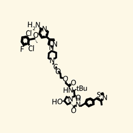 Cc1ncsc1-c1ccc(CNC(=O)[C@@H]2C[C@@H](O)CN2C(=O)[C@@H](NC(=O)COCCOCCN2CCC(n3cc(-c4cnc(N)c(O[C@H](C)c5c(Cl)ccc(F)c5Cl)c4)cn3)CC2)C(C)(C)C)cc1